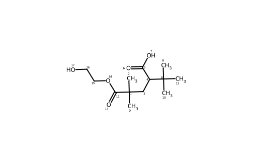 CC(C)(CC(C(=O)O)C(C)(C)C)C(=O)OCCO